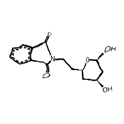 O=C1c2ccccc2C(=O)N1CC[C@@H]1C[C@H](O)C[C@H](O)O1